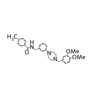 COc1ccc(CN2CCN(c3cccc(CNC(=O)c4ccc(C)cc4)c3)CC2)cc1OC